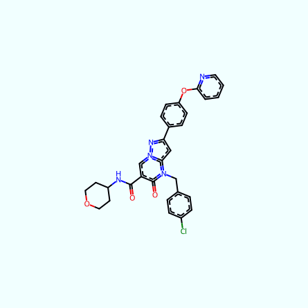 O=C(NC1CCOCC1)c1cn2nc(-c3ccc(Oc4ccccn4)cc3)cc2n(Cc2ccc(Cl)cc2)c1=O